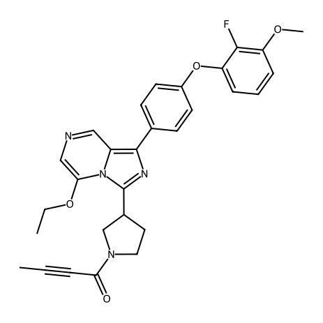 CC#CC(=O)N1CCC(c2nc(-c3ccc(Oc4cccc(OC)c4F)cc3)c3cncc(OCC)n23)C1